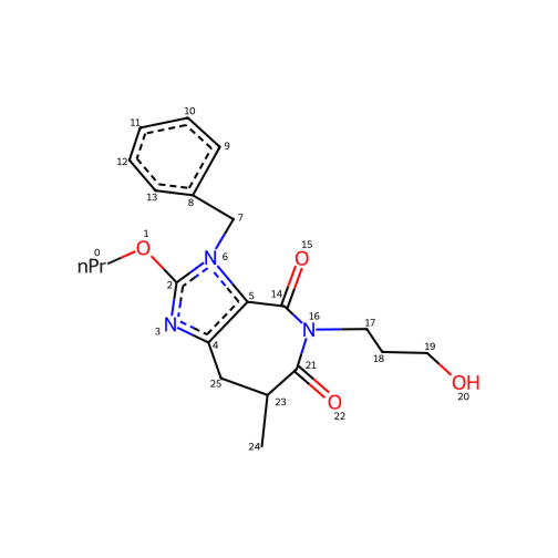 CCCOc1nc2c(n1Cc1ccccc1)C(=O)N(CCCO)C(=O)C(C)C2